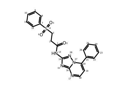 O=C(CCS(=O)(=O)c1ccccc1)Nc1nc2nccc(-c3ccccc3)n2n1